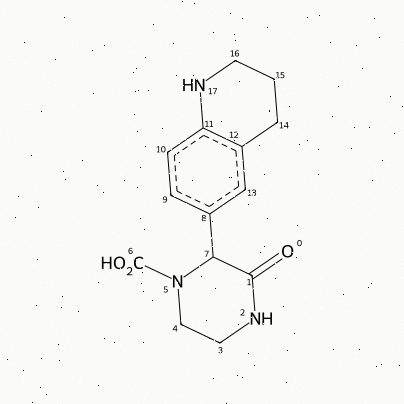 O=C1NCCN(C(=O)O)C1c1ccc2c(c1)CCCN2